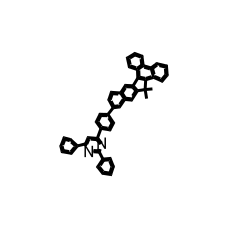 CC1(C)c2cc3cc(-c4ccc(-c5cc(-c6ccccc6)nc(-c6ccccc6)n5)cc4)ccc3cc2-c2c1c1ccccc1c1ccccc21